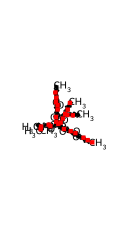 CCCCCCCOC(=O)CCCCC(=O)OCC(COC(=O)CCCCC(=O)OCCCCCCC)(COC(=O)CCCN(CC)C(C)C)COC(=O)CC(CCCCCC)CCCCCC